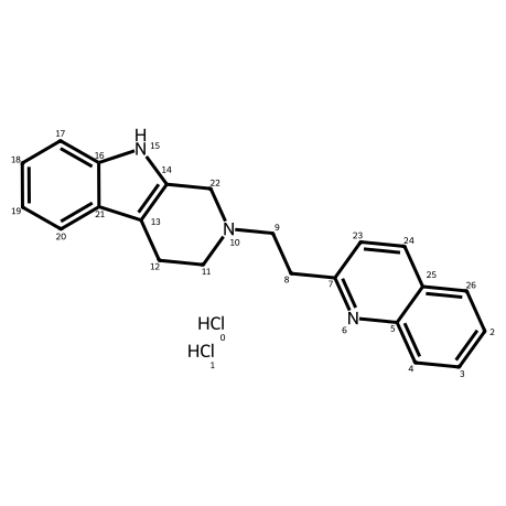 Cl.Cl.c1ccc2nc(CCN3CCc4c([nH]c5ccccc45)C3)ccc2c1